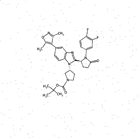 Cc1noc(C)c1-c1ccc2c(c1)nc([C@@H]1CCC(=O)N1c1ccc(F)c(F)c1)n2[C@@H]1CCN(C(=O)OC(C)(C)C)C1